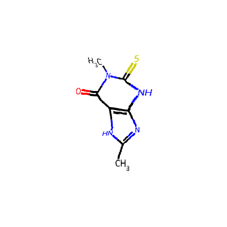 Cc1nc2[nH]c(=S)n(C)c(=O)c2[nH]1